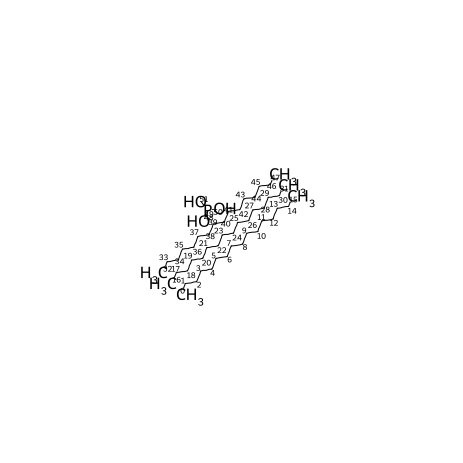 CCCCCCCCCCCCCCCC.CCCCCCCCCCCCCCCC.CCCCCCCCCCCCCCCC.OP(O)O